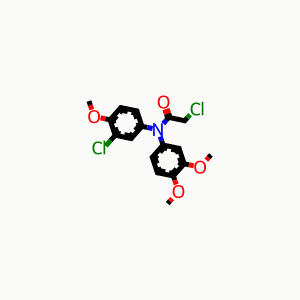 COc1ccc(N(C(=O)CCl)c2ccc(OC)c(OC)c2)cc1Cl